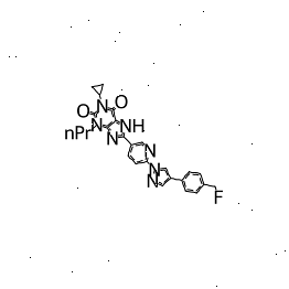 CCCn1c(=O)n(C2CC2)c(=O)c2[nH]c(-c3ccc(-n4cc(-c5ccc(CF)cc5)cn4)nc3)nc21